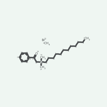 C.CCCCCCCCCCCC[N+](C)(C)CC(=O)c1ccccc1.[Br-]